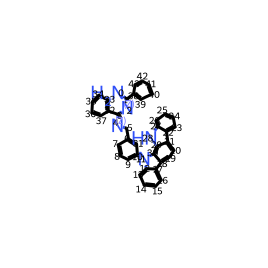 N/C(=N\C(=N/Cc1cccc(-n2c3ccccc3c3ccc4c5ccccc5[nH]c4c32)c1)c1ccccc1)c1ccccc1